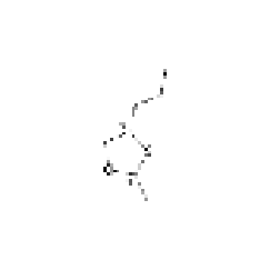 CCC[C@H]1CO[C@@H](C)S1